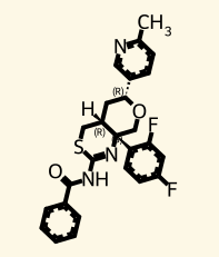 Cc1ccc([C@H]2C[C@H]3CSC(NC(=O)c4ccccc4)=N[C@@]3(c3ccc(F)cc3F)CO2)cn1